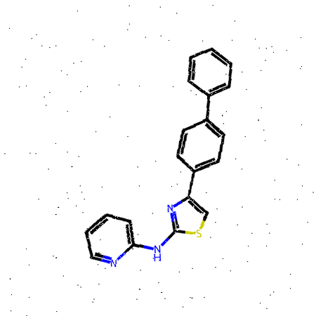 c1ccc(-c2ccc(-c3csc(Nc4ccccn4)n3)cc2)cc1